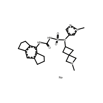 CN1CC2(CC(N(c3cnn(C)c3)S(=O)(=O)NC(=O)Nc3c4c(cc5c3CCC5)CCC4)C2)C1.[Na]